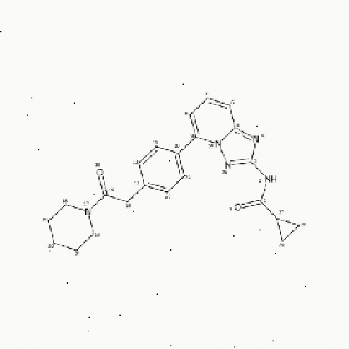 O=C(Nc1nc2cccc(-c3ccc(CC(=O)N4CCCCC4)cc3)n2n1)C1CC1